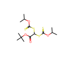 CC(C)OC(=S)SC(SC(=S)OC(C)C)C(=O)OC(C)(C)C